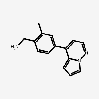 Cc1cc(-c2ccnn3cccc23)ccc1CN